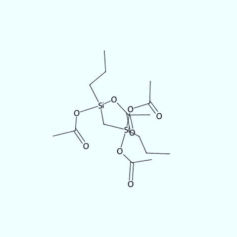 CCC[Si](C[Si](CCC)(OC(C)=O)OC(C)=O)(OC(C)=O)OC(C)=O